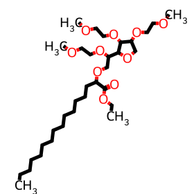 CCCCCCCCCCCCCCC(OCC(OCCOC)C1OCC(OCCOC)C1OCCOC)C(=O)OCC